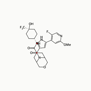 COc1cc(-c2cc(C(=O)N3C4COCC3CC(C(=O)N[C@H]3CC[C@@](O)(C(F)(F)F)CC3)C4)n[nH]2)c(F)cn1